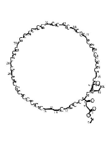 CCOC(=O)CC(=O)C1CCCCCCCCCCCCCCCCCCCCCCCCCCCCCCCCCCCCCCCCCCCCCCCCC2(CC1)OCCO2